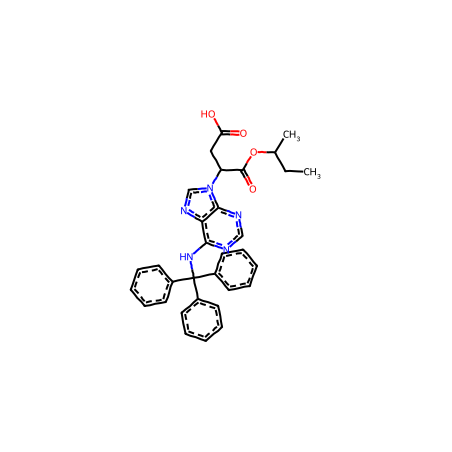 CCC(C)OC(=O)C(CC(=O)O)n1cnc2c(NC(c3ccccc3)(c3ccccc3)c3ccccc3)ncnc21